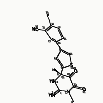 CN1C(=N)N[C@](C)(c2cc(-c3ccc(F)c(C#N)c3)cs2)C(=O)C1=O